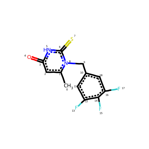 Cc1cc(=O)[nH]c(=S)n1Cc1cc(F)c(F)c(F)c1